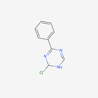 ClC1N=C(c2ccccc2)N=CN1